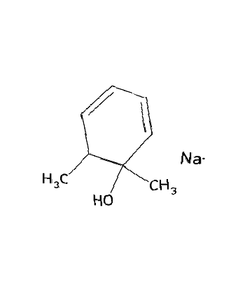 CC1C=CC=CC1(C)O.[Na]